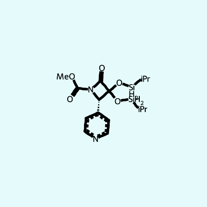 COC(=O)N1C(=O)C(O[SiH2]C(C)C)(O[SiH2]C(C)C)[C@@H]1c1ccncc1